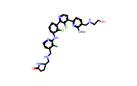 COc1nc(-c2ccnc(-c3cccc(Nc4nccc(CNCC5CCC(=O)N5)c4F)c3Cl)c2Cl)ccc1CNCCO